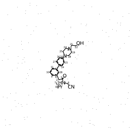 CC(C)C[C@@H](C(=O)NCC#N)c1cccc(-c2ccc(N3CCN(CCO)CC3)cc2)c1